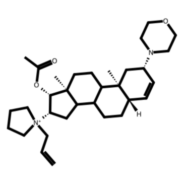 C=CC[N+]1([C@H]2CC3C4CC[C@H]5C=C[C@@H](N6CCOCC6)C[C@]5(C)C4CC[C@]3(C)[C@H]2OC(C)=O)CCCC1